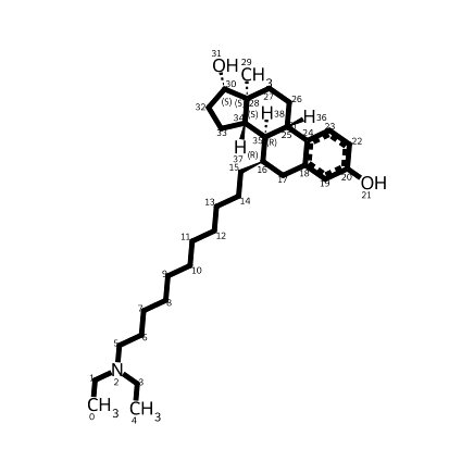 CCN(CC)CCCCCCCCCCC[C@@H]1Cc2cc(O)ccc2[C@H]2CC[C@]3(C)[C@@H](O)CC[C@H]3[C@H]12